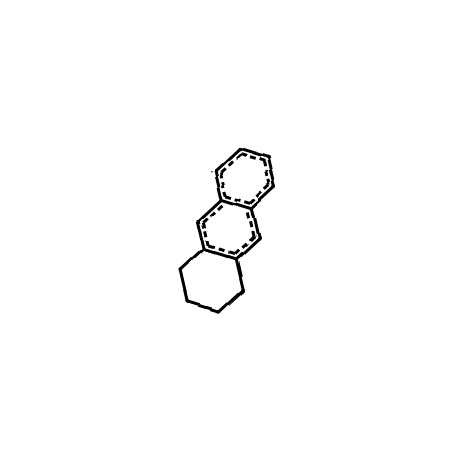 [c]1cccc2cc3c(cc12)CCCC3